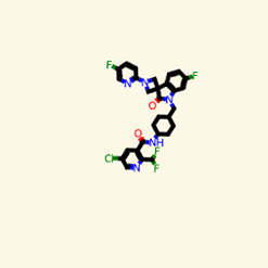 O=C(NC1CCC(CN2C(=O)C3(CN(c4ccc(F)cn4)C3)c3ccc(F)cc32)CC1)c1cc(Cl)cnc1C(F)F